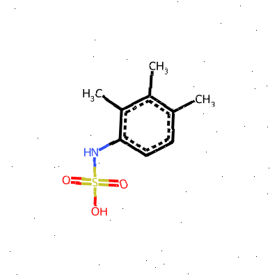 Cc1ccc(NS(=O)(=O)O)c(C)c1C